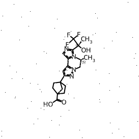 C[C@H]1Cn2nc(C34CCC(C(=O)O)(CC3)C4)cc2-c2cnc([C@@](C)(O)C(F)(F)F)n21